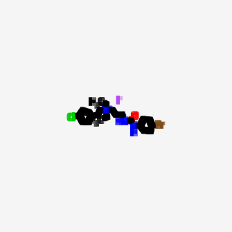 CC[N+](CC)(CCCNC(=O)Nc1ccc(Br)cc1)CCc1ccc(Cl)cc1.[I-]